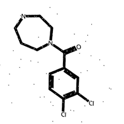 O=C(c1ccc(Cl)c(Cl)c1)N1CCC[N]CC1